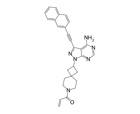 C=CC(=O)N1CCC2(CC1)CC(n1nc(C#Cc3ccc4ccccc4c3)c3c(N)ncnc31)C2